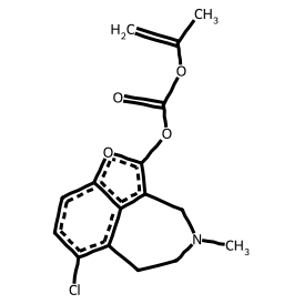 C=C(C)OC(=O)Oc1oc2ccc(Cl)c3c2c1CN(C)CC3